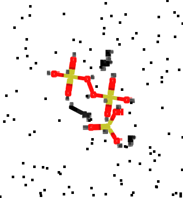 CC(C)=O.O=S(=O)([O-])OOS(=O)(=O)[O-].O=S([O-])O.[K+].[K+].[Na+]